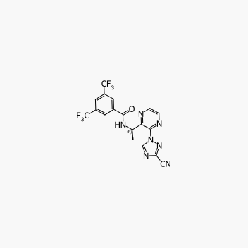 C[C@@H](NC(=O)c1cc(C(F)(F)F)cc(C(F)(F)F)c1)c1nccnc1-n1cnc(C#N)n1